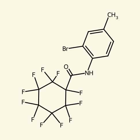 Cc1ccc(NC(=O)C2(F)C(F)(F)C(F)(F)C(F)(F)C(F)(F)C2(F)F)c(Br)c1